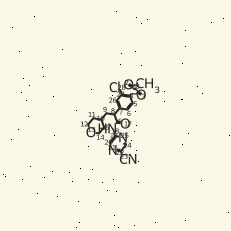 CS(=O)(=O)c1ccc(C(CC2CCOCC2)C(=O)Nc2cnc(C#N)cn2)cc1Cl